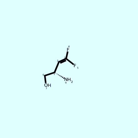 N[C@@H](C=C(F)F)CO